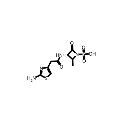 CC1[C@H](NC(=O)Cc2csc(N)n2)C(=O)N1S(=O)(=O)O